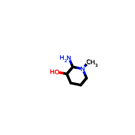 CN1CCCC(O)C1N